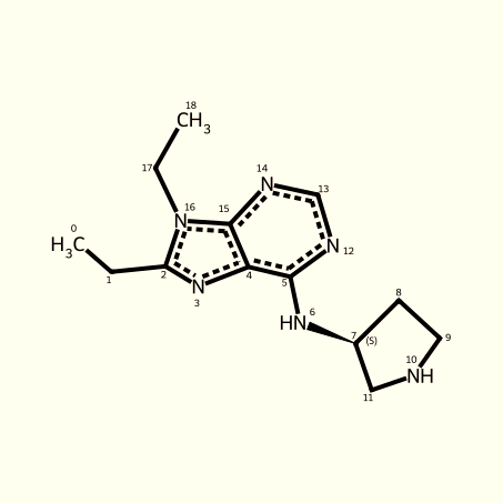 CCc1nc2c(N[C@H]3CCNC3)ncnc2n1CC